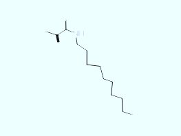 CCCCCCCCCCNC(C)C(=O)O